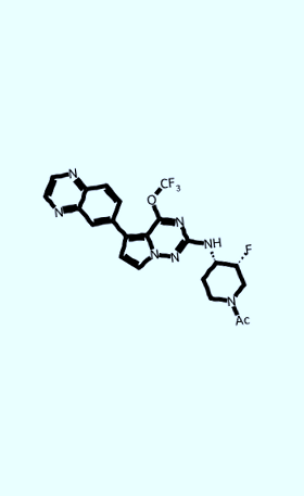 CC(=O)N1CC[C@H](Nc2nc(OC(F)(F)F)c3c(-c4ccc5nccnc5c4)ccn3n2)[C@H](F)C1